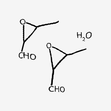 CC1OC1C=O.CC1OC1C=O.O